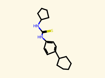 S=C(Nc1ccc(C2CCCCC2)cc1)NC1CCCC1